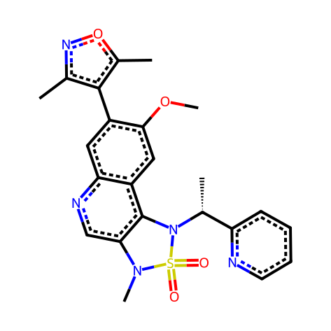 COc1cc2c3c(cnc2cc1-c1c(C)noc1C)N(C)S(=O)(=O)N3[C@H](C)c1ccccn1